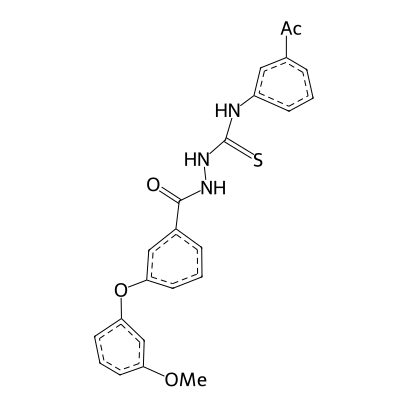 COc1cccc(Oc2cccc(C(=O)NNC(=S)Nc3cccc(C(C)=O)c3)c2)c1